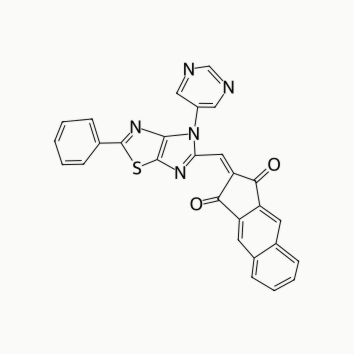 O=C1C(=Cc2nc3sc(-c4ccccc4)nc3n2-c2cncnc2)C(=O)c2cc3ccccc3cc21